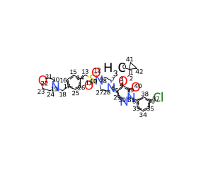 CC1(COc2c(N3CCN(S(=O)(=O)Cc4ccc(CN5CCOCC5)cc4)CC3)cnn(-c3cccc(Cl)c3)c2=O)CC1